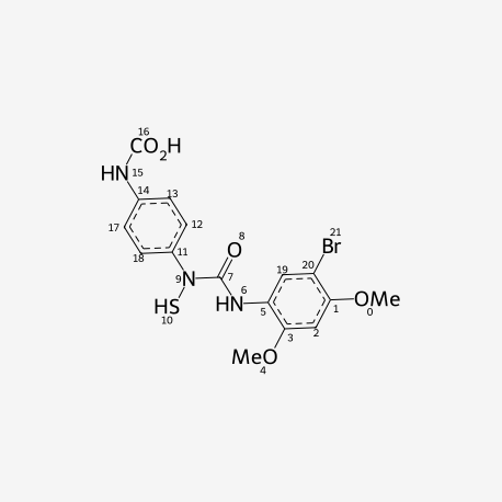 COc1cc(OC)c(NC(=O)N(S)c2ccc(NC(=O)O)cc2)cc1Br